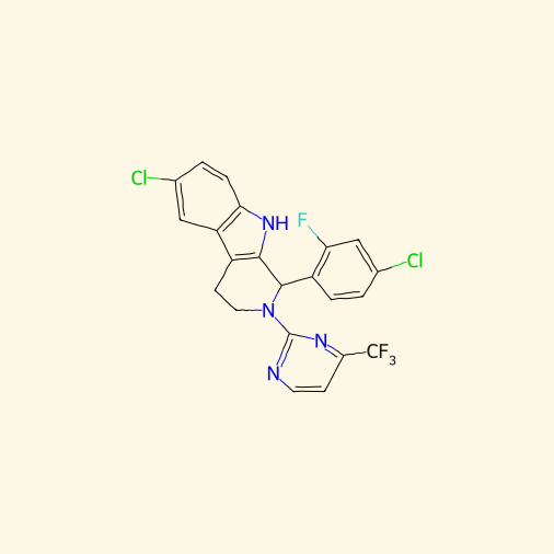 Fc1cc(Cl)ccc1C1c2[nH]c3ccc(Cl)cc3c2CCN1c1nccc(C(F)(F)F)n1